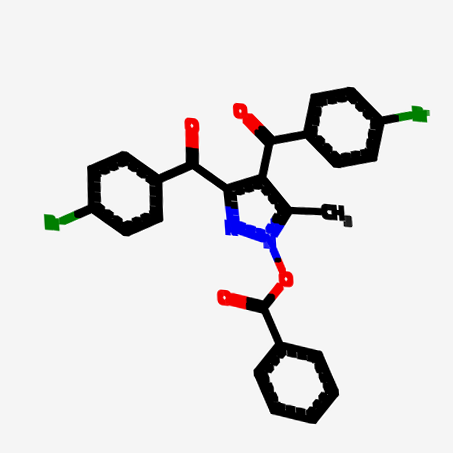 Cc1c(C(=O)c2ccc(Br)cc2)c(C(=O)c2ccc(Br)cc2)nn1OC(=O)c1ccccc1